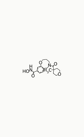 CC1(C(=O)N2CCCOc3cc(C(=O)NO)ccc3C2)CCOCC1